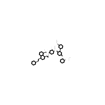 O=C1c2cccc3c(C=Cc4ccccc4)ccc(c23)C(=O)N1c1ccc(Oc2ccc(Oc3ccccc3C(F)(F)F)cc2-c2cccc(CF)c2)c(C(F)(F)F)c1